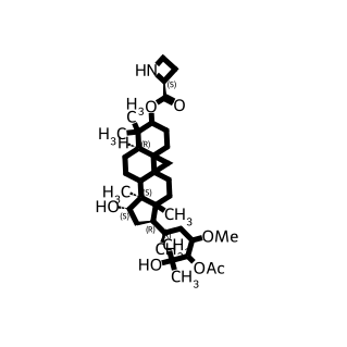 COC(C[C@@H](C)[C@H]1C[C@H](O)[C@@]2(C)C3CC[C@H]4C(C)(C)C(OC(=O)[C@@H]5CCN5)CCC45CC35CCC12C)C(OC(C)=O)C(C)(C)O